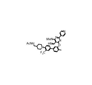 CNc1nc(-c2ccncc2)nc(Oc2cc(-c3ccc(N4CCC(CNC(C)=O)CC4)c(C(F)(F)F)c3)ccc2C)c1C=N